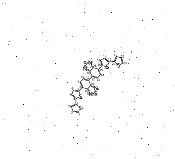 c1csc(-c2ccc(-c3ccc(-c4ccc(-c5ccc(-c6cccs6)s5)c5nsnc45)c4nsnc34)s2)c1